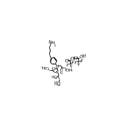 NCCCCc1ccc(N(CCN(C[C@H](O)CO)C[C@H](O)CO)C[C@H](O)CO)cc1.O=C(O)C(F)(F)F.O=C(O)C(F)(F)F